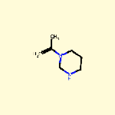 C=C(C)N1CCCNC1